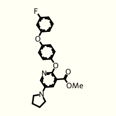 COC(=O)c1cc(N2CCCC2)cnc1Oc1ccc(Oc2cccc(F)c2)cc1